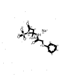 CC(=O)OC1(NC(=O)COc2ccccc2)CC(=O)N1S(=O)(=O)[O-].[Na+]